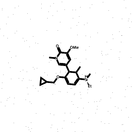 CC[Si@@H](C)C1=CC=C(OCC2CC2)C(c2cc(OC)c(=O)n(C)c2)C1C